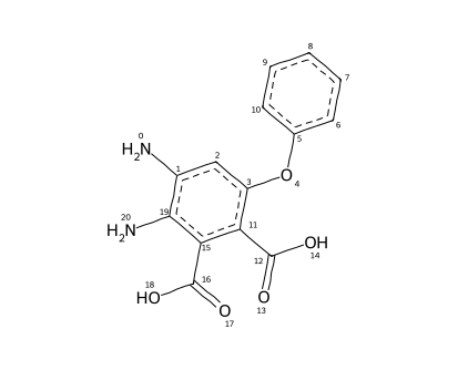 Nc1cc(Oc2ccccc2)c(C(=O)O)c(C(=O)O)c1N